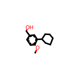 COc1ccc(CO)cc1C1CCCCC1